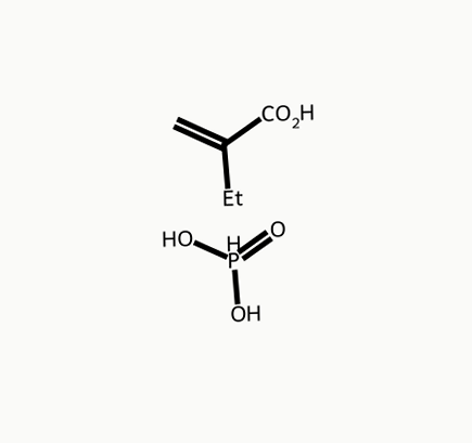 C=C(CC)C(=O)O.O=[PH](O)O